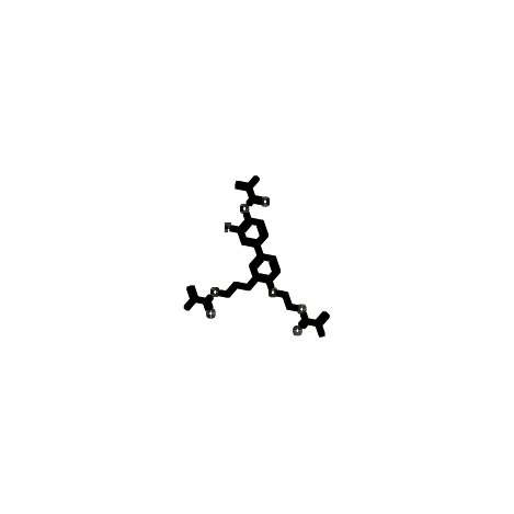 C=C(C)C(=O)OCCCc1cc(-c2ccc(OC(=O)C(=C)C)c(F)c2)ccc1OCCOC(=O)C(=C)C